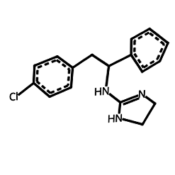 Clc1ccc(CC(NC2=NCCN2)c2ccccc2)cc1